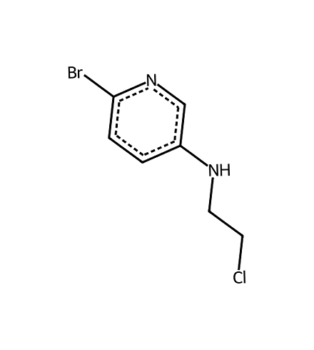 ClCCNc1ccc(Br)nc1